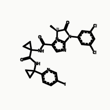 C[C@H]1C(=O)N(c2cc(Cl)cc(Cl)c2)c2ncc(C(=O)NC3(C(=O)NC4(c5ccc(I)cn5)CC4)CC3)n21